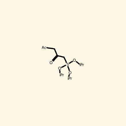 CC(=O)CC(=O)[CH2][Ti]([O]C(C)C)([O]C(C)C)[O]C(C)C